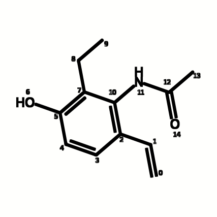 C=Cc1ccc(O)c(CC)c1NC(C)=O